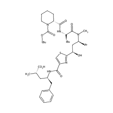 CC[C@H](C)[C@H](NC(=O)[C@H]1CCCCN1C(=O)OC(C)(C)C)C(=O)N(C)[C@H](C[C@@H](O)c1nc(C(=O)N[C@@H](Cc2ccccc2)C[C@H](C)C(=O)O)cs1)C(C)C